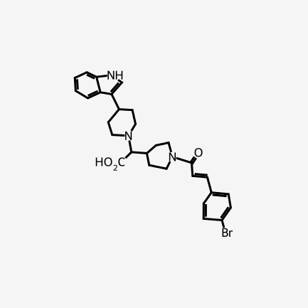 O=C(O)C(C1CCN(C(=O)C=Cc2ccc(Br)cc2)CC1)N1CCC(c2c[nH]c3ccccc23)CC1